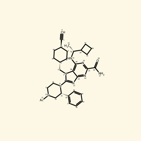 C#C[C@H]1CC[C@H](Cn2c(N3CCN(C(C)=O)C[C@H]3c3ccccc3)nc3nc(C(N)=O)nc(N[C@H](C)C4CCC4)c32)CC1